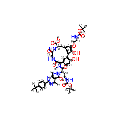 COC(=O)[C@@H]1Cc2cc(OCCNC(=O)OC(C)(C)C)c(O)c(c2)-c2cc(ccc2O)[C@H](N(C)C(=O)[C@@H](CCNC(=O)OC(C)(C)C)NC(=O)c2c(C)nc(-c3ccc(C(C)(C)C)cc3)nc2C)C(=O)N[C@H](C)C(=O)N1